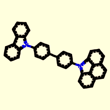 c1ccc2c(c1)c1ccccc1n2-c1ccc(-c2ccc(-n3c4cccc5ccc6cccc3c6c54)cc2)cc1